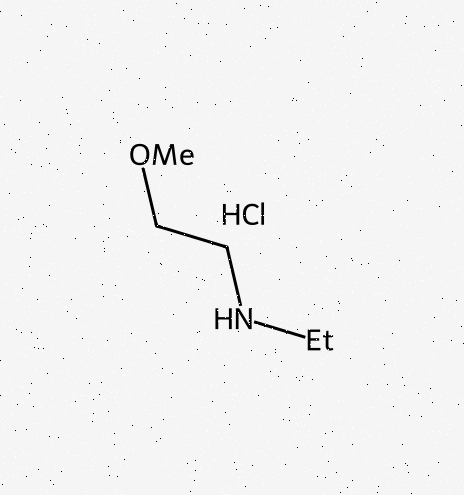 CCNCCOC.Cl